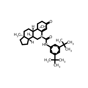 CC(C)(C)c1cc(NC(=O)N2C[C@H]3[C@@H]4CCC[C@@]4(C)CC[C@@H]3[C@@]3(C)CCC(=O)C=C23)cc(C(C)(C)C)c1